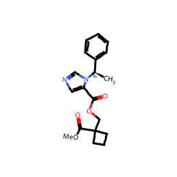 COC(=O)C1(COC(=O)c2cncn2[C@H](C)c2ccccc2)CCC1